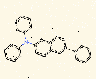 c1ccc(-c2ccc3cc(N(c4ccccc4)c4ccccc4)ccc3c2)cc1